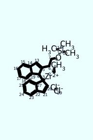 C[CH]=[Zr+2][C]1(C2C(CCO[Si](C)(C)C)=Cc3ccccc32)C=Cc2ccccc21.[Cl-].[Cl-]